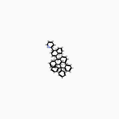 c1ccc(C2(c3ccccc3)c3ccccc3-c3cccc4c(-c5ccc(-c6ccccn6)c6ccccc56)c5ccccc5c2c34)cc1